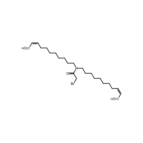 CCCCCCCC/C=C\CCCCCCCCN(CCCCCCCC/C=C\CCCCCCCC)C(=O)CBr